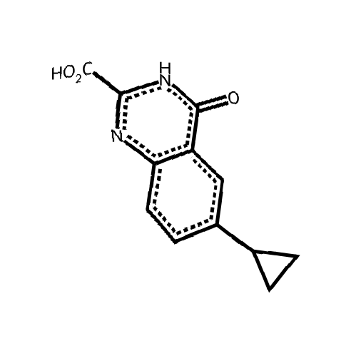 O=C(O)c1nc2ccc(C3CC3)cc2c(=O)[nH]1